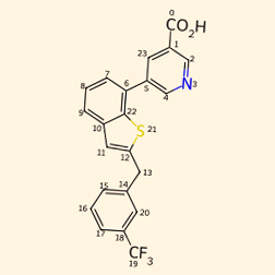 O=C(O)c1cncc(-c2cccc3cc(Cc4cccc(C(F)(F)F)c4)sc23)c1